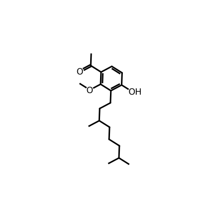 COc1c(C(C)=O)ccc(O)c1CCC(C)CCCC(C)C